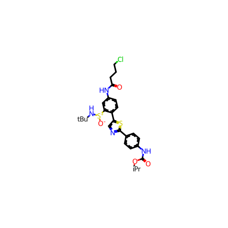 CC(C)OC(=O)Nc1ccc(-c2ncc(-c3ccc(NC(=O)CCCCl)cc3[S+]([O-])NC(C)(C)C)s2)cc1